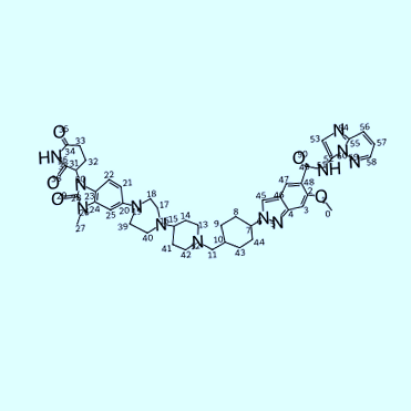 COc1cc2nn(C3CCC(CN4CCC(N5CCN(c6ccc7c(c6)n(C)c(=O)n7C6CCC(=O)NC6=O)CC5)CC4)CC3)cc2cc1C(=O)Nc1cnc2cccnn12